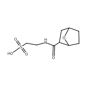 O=C(NCCS(=O)(=O)O)C1CC2CCC1O2